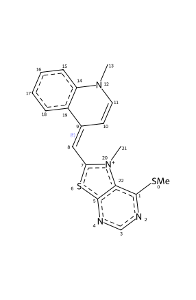 CSc1ncnc2sc(/C=C3\C=CN(C)c4ccccc43)[n+](C)c12